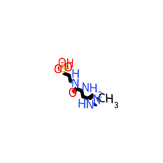 CN1C=C(C[C@H](N)C(=O)NCCCS(=O)(=O)O)NC1